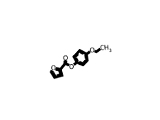 CCOc1ccc(OC(=O)c2ccco2)cc1